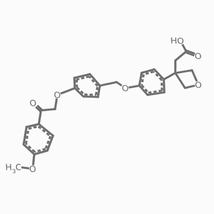 COc1ccc(C(=O)COc2ccc(COc3ccc(C4(CC(=O)O)COC4)cc3)cc2)cc1